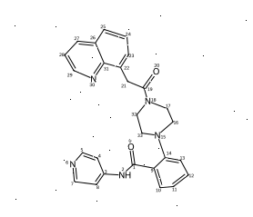 O=C(Nc1ccncc1)c1ccccc1N1CCN(C(=O)Cc2cccc3cccnc23)CC1